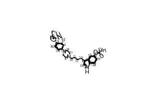 COc1ccc(N2CCN(CCCCc3c[nH]c4ccc(OC(=O)O)cc34)CC2)cc1